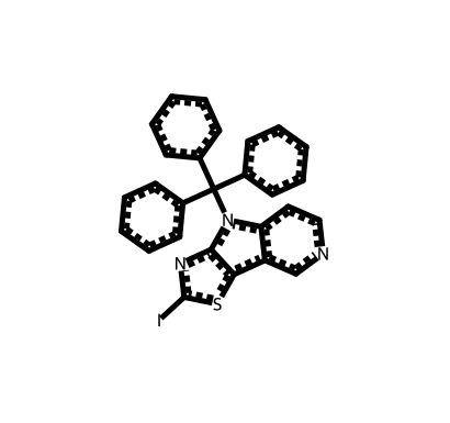 Ic1nc2c(s1)c1cnccc1n2C(c1ccccc1)(c1ccccc1)c1ccccc1